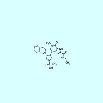 CCNC(=O)c1cc2c(-c3sc(C(C)(C)O)cc3N3CCc4cc(F)ccc4C3)cn(C)c(=O)c2[nH]1